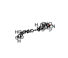 CC1(C)C(Oc2ccc(C#N)c(Cl)c2)C(C)(C)C1N1Cc2nc(C#CC3CCC(N4CCN(c5ccc6c(c5)CN(C5CCC(=O)NC5=O)C6O)CC4)CC3)ccc2C1=O